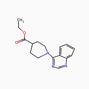 CCOC(=O)C1CCN(c2ncnc3ccccc23)CC1